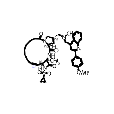 COc1ccc(-c2cc(CN(C)C[C@@H]3C[C@H]4C(=O)N[C@@]5(C)C(=O)N(S(=O)(=O)C6CC6)[C@H]5/C=C\CCCCCCC(=O)N4C3)c3ccccc3n2)cc1